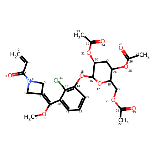 C=CC(=O)N1CC(=C(OC)c2cccc(OC3OC(COC(C)=O)C(OC(C)=O)C[C@@H]3OC(C)=O)c2Cl)C1